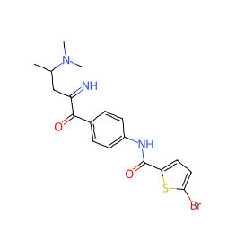 CC(CC(=N)C(=O)c1ccc(NC(=O)c2ccc(Br)s2)cc1)N(C)C